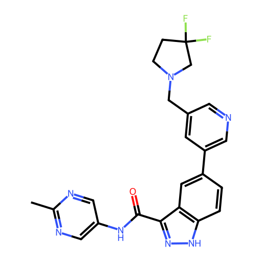 Cc1ncc(NC(=O)c2n[nH]c3ccc(-c4cncc(CN5CCC(F)(F)C5)c4)cc23)cn1